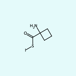 NC1(C(=O)SI)CCC1